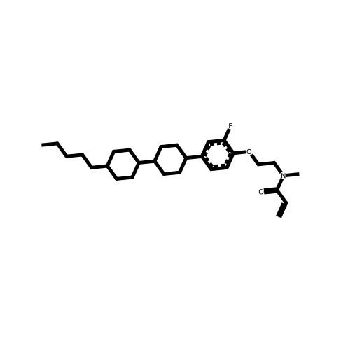 C=CC(=O)N(C)CCOc1ccc(C2CCC(C3CCC(CCCCC)CC3)CC2)cc1F